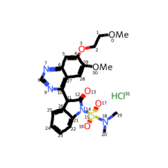 COCCOc1cc2ncnc(C3C(=O)N(S(=O)(=O)N(C)C)c4ccccc43)c2cc1OC.Cl